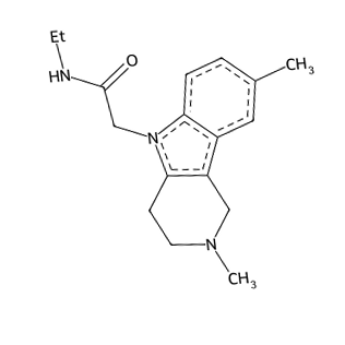 CCNC(=O)Cn1c2c(c3cc(C)ccc31)CN(C)CC2